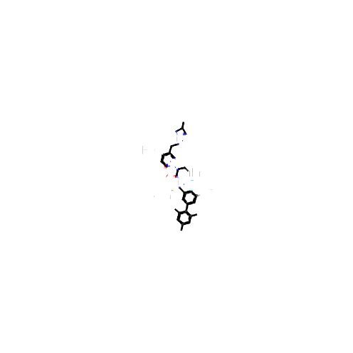 CCOC(=O)C[C@H](NC(=O)C(CC(C)C)n1cc(CCN2CC(C)C2)c(C(F)(F)F)cc1=O)c1cc(-c2c(C)cc(C)cc2C)cc(C(F)(F)F)c1F